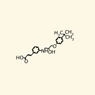 CC(C)(C)c1ccc(OCC(O)CNc2cccc(C=CC(=O)O)c2)cc1